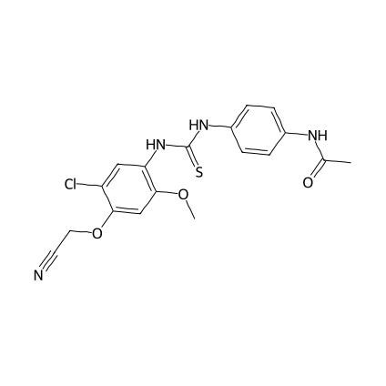 COc1cc(OCC#N)c(Cl)cc1NC(=S)Nc1ccc(NC(C)=O)cc1